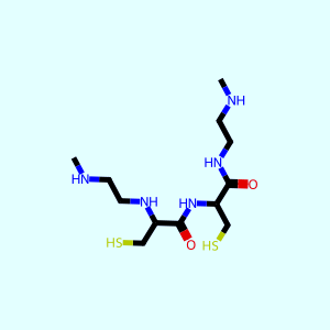 CNCCNC(=O)C(CS)NC(=O)C(CS)NCCNC